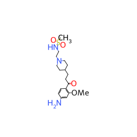 COc1cc(N)ccc1C(=O)CCC1CCN(CCNS(C)(=O)=O)CC1